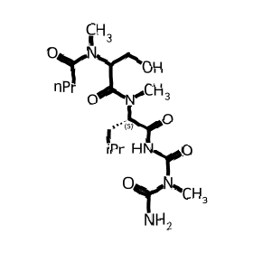 CCCC(=O)N(C)C(CO)C(=O)N(C)[C@@H](CC(C)C)C(=O)NC(=O)N(C)C(N)=O